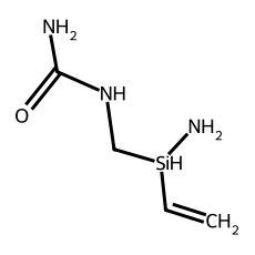 C=C[SiH](N)CNC(N)=O